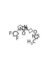 Cc1csc(O[C@H]2C[C@H](n3nc4n(c3=O)[C@H](c3cc(F)cc(F)c3)CC4)C2)n1